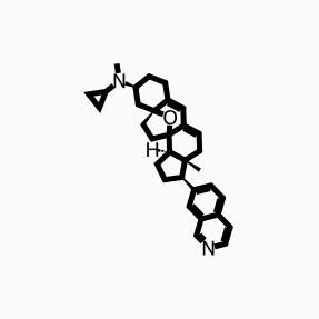 CN(C1CC1)[C@H]1CCC2=CC3=CC[C@]4(C)[C@@H](c5ccc6ccncc6c5)CC[C@H]4C34CC[C@]2(C1)O4